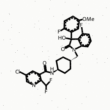 COc1ccc(F)c(C2(O)C(=O)N(C[C@H]3CC[C@H](NC(=O)c4cc(Cl)cnc4C(F)F)CC3)c3cccc(F)c32)c1